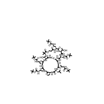 CC[C@@H]1NC(=O)[C@@H](CC(C)C)NC(=O)[C@@H](CCNC(=O)OC(C)(C)C)NC(=O)[C@@H](NC(=O)[C@H](CNC(=O)OC(C)(C)C)NC(=O)[C@@H](NC(=O)[C@H](CCNC(=O)OC(C)(C)C)NC(=O)CCOC(=O)C(C)(C)C)C(C)O)CCNC(=O)[C@H](C(C)O)NC(=O)[C@H](CCNC(=O)OC(C)(C)C)NC(=O)[C@H](CCNC(=O)OC(C)(C)C)NC1=O